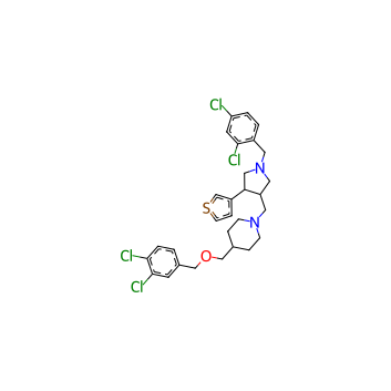 Clc1ccc(CN2CC(CN3CCC(COCc4ccc(Cl)c(Cl)c4)CC3)C(c3ccsc3)C2)c(Cl)c1